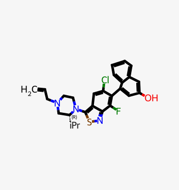 C=CCN1CCN(c2snc3c(F)c(-c4cc(O)cc5ccccc45)c(Cl)cc23)[C@H](C(C)C)C1